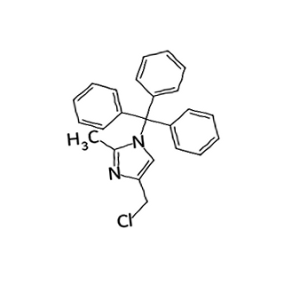 Cc1nc(CCl)cn1C(c1ccccc1)(c1ccccc1)c1ccccc1